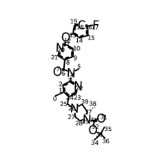 Cc1cc(N(C)C(=O)c2ccc(Oc3ccc(F)cc3)nc2)ncc1CN1CCN(C(=O)OC(C)(C)C)[C@@H](C)C1